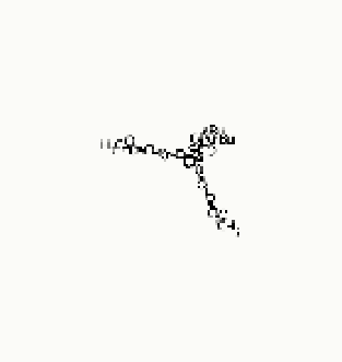 C=CC(=O)OCCOCCOCCOc1ccc(OCCOCCOCCOC(=O)C=C)c2c1SC(=C1C(=O)N(CCCC)N(CCCC)C1=O)S2